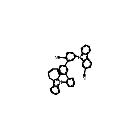 N#Cc1ccc2c3ccccc3n(-c3ccc(C#N)c(-c4cccc(-c5ccccc5-n5c6c(c7ccccc75)CC=CC=C6)c4)c3)c2c1